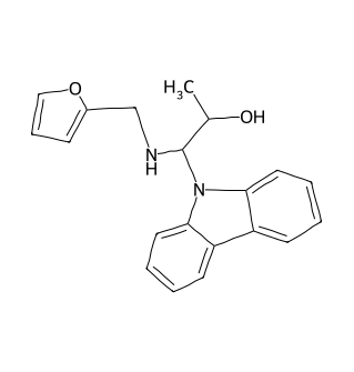 CC(O)C(NCc1ccco1)n1c2ccccc2c2ccccc21